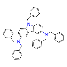 c1ccc(CN(Cc2ccccc2)c2ccc3c(c2)c2cc(N(Cc4ccccc4)Cc4ccccc4)ccc2n3Cc2ccccc2)cc1